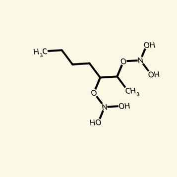 CCCCC(ON(O)O)C(C)ON(O)O